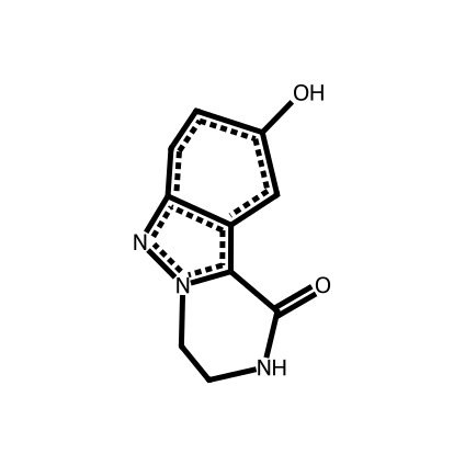 O=C1NCCn2nc3ccc(O)cc3c21